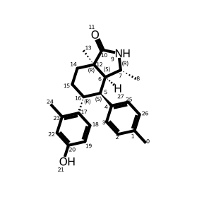 Cc1ccc([C@@H]2[C@@H]3[C@@H](C)NC(=O)[C@]3(C)CC[C@H]2c2ccc(O)cc2C)cc1